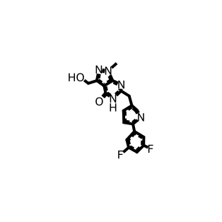 Cn1nc(CO)c2c(=O)[nH]c(Cc3ccc(-c4cc(F)cc(F)c4)nc3)nc21